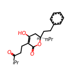 CCC[C@@]1(CCc2ccccc2)CC(O)=C(CCC(=O)C(C)C)C(=O)O1